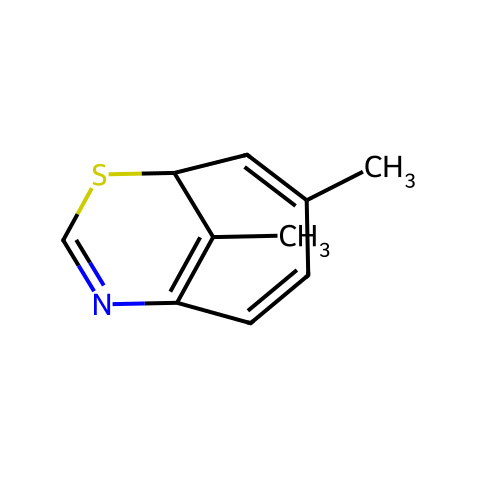 CC1=CC2SC=NC(=C2C)C=C1